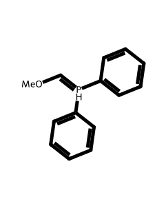 COC=[PH](c1ccccc1)c1ccccc1